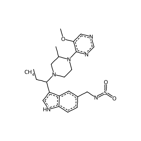 C.CCC(c1c[nH]c2ccc(CN=S(=O)=O)cc12)N1CCN(c2ncncc2OC)C(C)C1